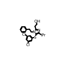 CC(C)c1nc(CCO)n(CCc2ccccc2)c1Sc1cc(Cl)cc(Cl)c1